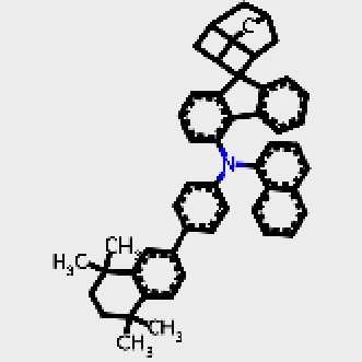 CC1(C)CCC(C)(C)c2cc(-c3ccc(N(c4cccc5c4-c4ccccc4C54C5CC6CC7CC4C75C6)c4cccc5ccccc45)cc3)ccc21